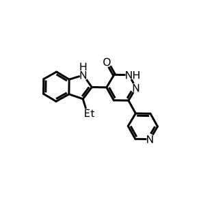 CCc1c(-c2cc(-c3ccncc3)n[nH]c2=O)[nH]c2ccccc12